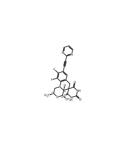 C[C@H]1CN2c3c(cc(C#Cc4ncccn4)c(F)c3F)CC3(C(=O)NC(=O)NC3=O)[C@@H]2[C@@H](C)O1